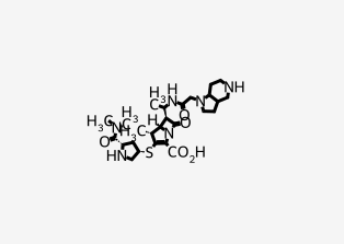 CC(NC(=O)CN1CCC2CNCCC21)[C@H]1C(=O)N2C(C(=O)O)=C(S[C@@H]3CN[C@H](C(=O)N(C)C)C3)[C@H](C)[C@H]12